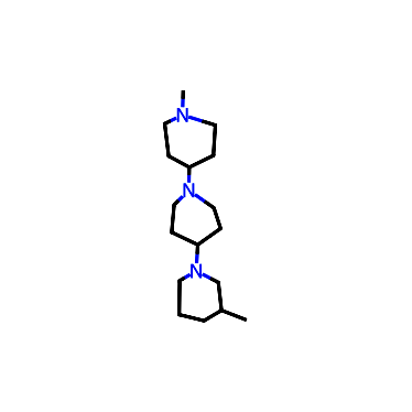 CC1CCCN(C2CCN(C3CCN(C)CC3)CC2)C1